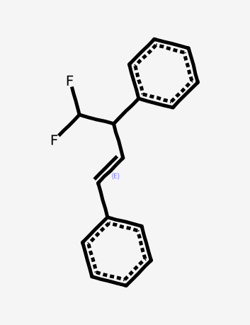 FC(F)C(/C=C/c1ccccc1)c1ccccc1